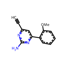 C#Cc1cc(-c2ccccc2OC)nc(N)n1